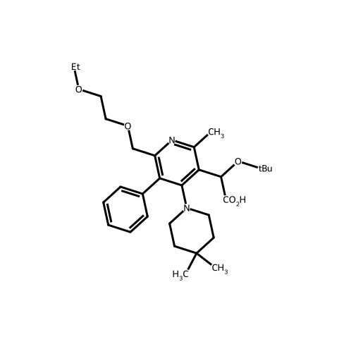 CCOCCOCc1nc(C)c(C(OC(C)(C)C)C(=O)O)c(N2CCC(C)(C)CC2)c1-c1ccccc1